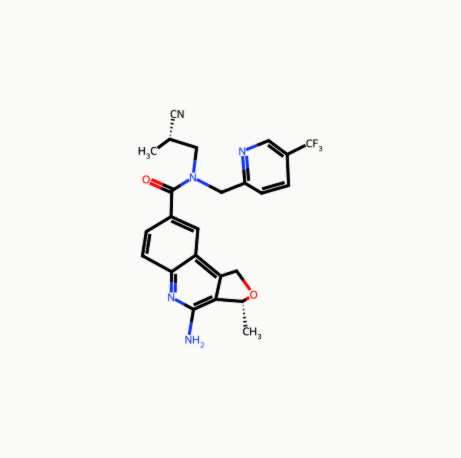 C[C@H](C#N)CN(Cc1ccc(C(F)(F)F)cn1)C(=O)c1ccc2nc(N)c3c(c2c1)CO[C@@H]3C